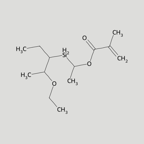 C=C(C)C(=O)OC(C)[SiH2]C(CC)C(C)OCC